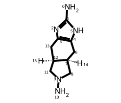 Nc1nc2c([nH]1)C[C@H]1CN(N)C[C@H]1C2